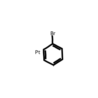 Brc1cc[c]cc1.[Pt]